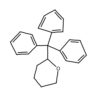 c1ccc(C(c2ccccc2)(c2ccccc2)C2CCCCO2)cc1